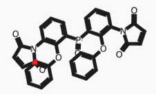 O=C1C=CC(=O)N1c1cccc([P](=O)c2cccc(N3C(=O)C=CC3=O)c2Oc2ccccc2)c1Oc1ccccc1